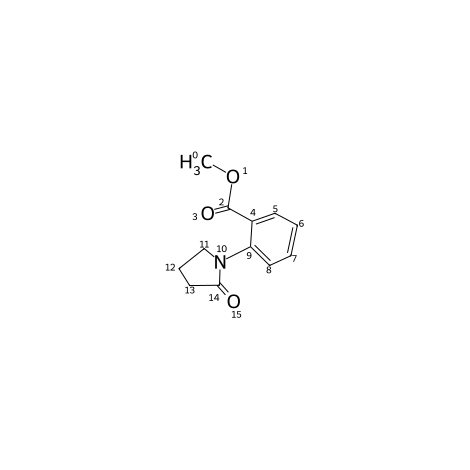 COC(=O)c1ccccc1N1CCCC1=O